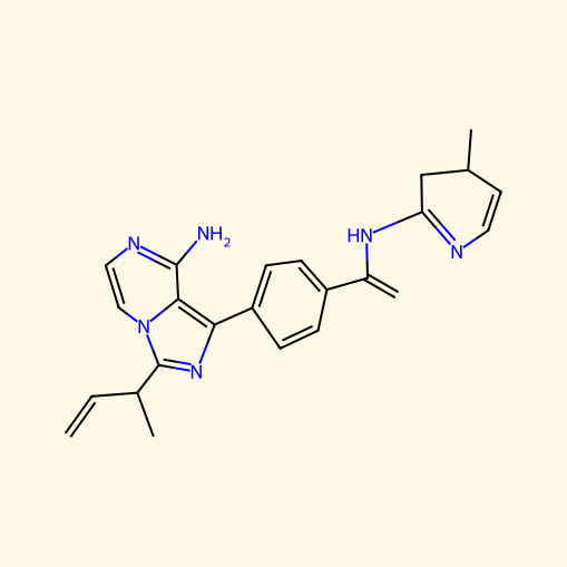 C=CC(C)c1nc(-c2ccc(C(=C)NC3=NC=CC(C)C3)cc2)c2c(N)nccn12